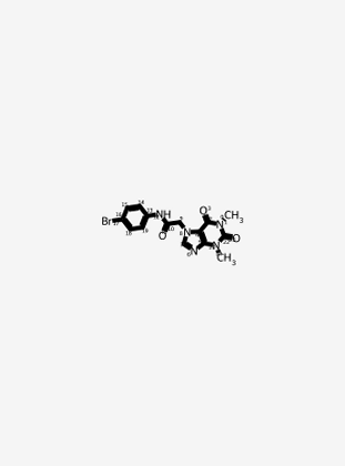 Cn1c(=O)c2c(ncn2CC(=O)Nc2ccc(Br)cc2)n(C)c1=O